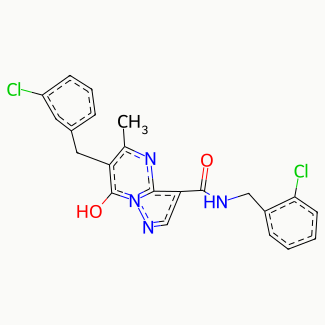 Cc1nc2c(C(=O)NCc3ccccc3Cl)cnn2c(O)c1Cc1cccc(Cl)c1